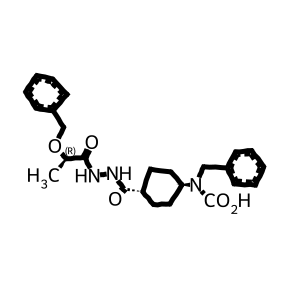 C[C@@H](OCc1ccccc1)C(=O)NNC(=O)[C@H]1CC[C@H](N(Cc2ccccc2)C(=O)O)CC1